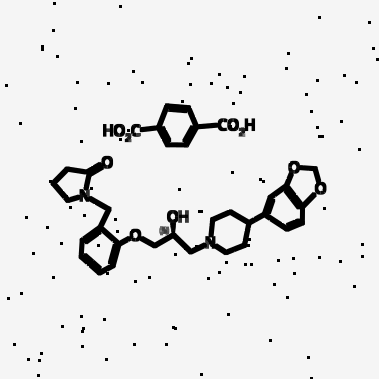 O=C(O)c1ccc(C(=O)O)cc1.O=C1CCCN1Cc1ccccc1OC[C@@H](O)CN1CCC(c2ccc3c(c2)OCO3)CC1